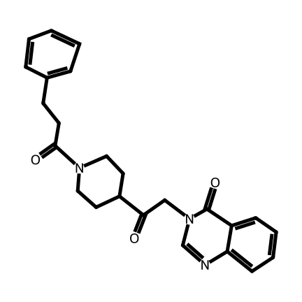 O=C(Cn1cnc2ccccc2c1=O)C1CCN(C(=O)CCc2ccccc2)CC1